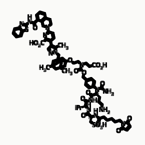 Cc1c(-c2ccc(N3CCc4cccc(C(=O)Nc5nc6ccccc6s5)c4C3)nc2C(=O)O)cnn1CC12CC3(C)CC(C)(C1)CC(OCCN(CCC(=O)O)C(=O)OCc1ccc(N(C(N)=O)[C@@H](CCCN)C(=O)NC(=O)[C@@H](NC(=O)[C@H](CS(=O)(=O)O)NC(=O)CCCCCN4C(=O)C=CC4=O)C(C)C)cc1)(C3)C2